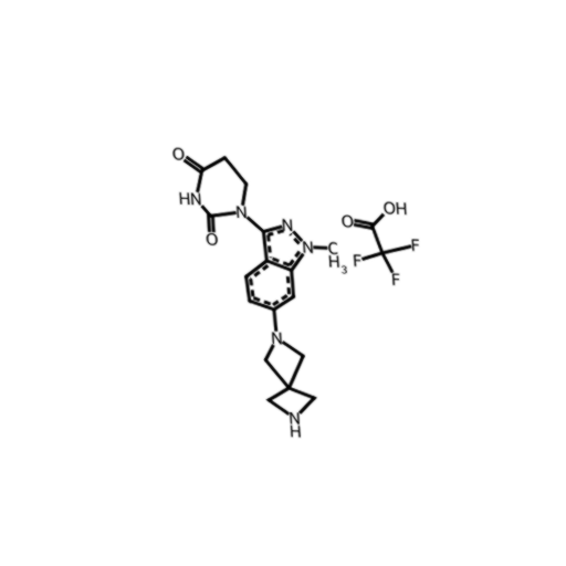 Cn1nc(N2CCC(=O)NC2=O)c2ccc(N3CC4(CNC4)C3)cc21.O=C(O)C(F)(F)F